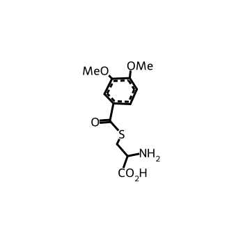 COc1ccc(C(=O)SCC(N)C(=O)O)cc1OC